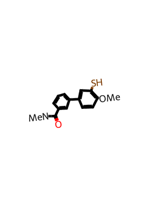 CNC(=O)c1cccc(-c2ccc(OC)c(S)c2)c1